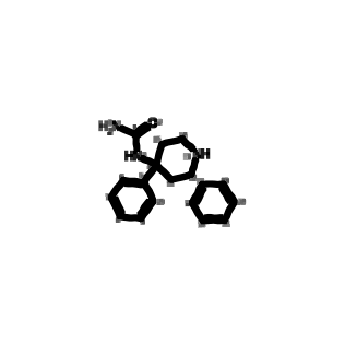 NC(=O)NC1(c2ccccc2)CCNCC1.c1ccccc1